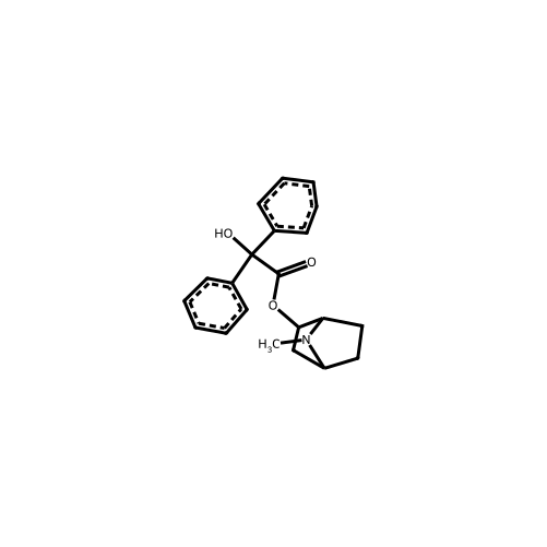 CN1C2CCC1C(OC(=O)C(O)(c1ccccc1)c1ccccc1)C2